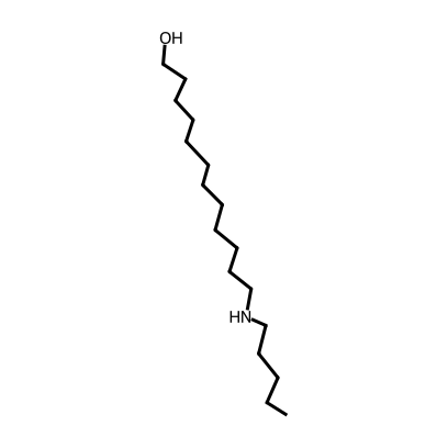 CCCCCNCCCCCCCCCCCCO